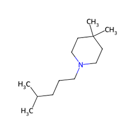 CC(C)CCCN1CCC(C)(C)CC1